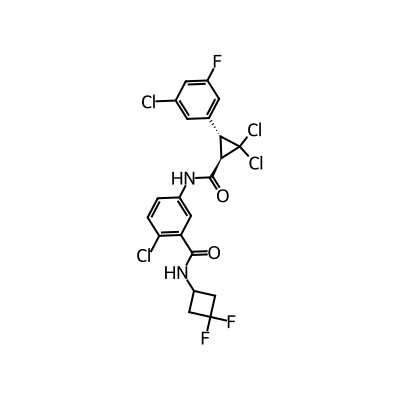 O=C(NC1CC(F)(F)C1)c1cc(NC(=O)[C@H]2[C@H](c3cc(F)cc(Cl)c3)C2(Cl)Cl)ccc1Cl